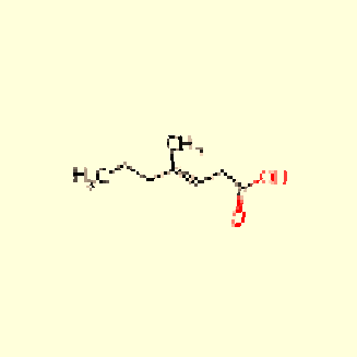 CCC/C(C)=C/CC(=O)O